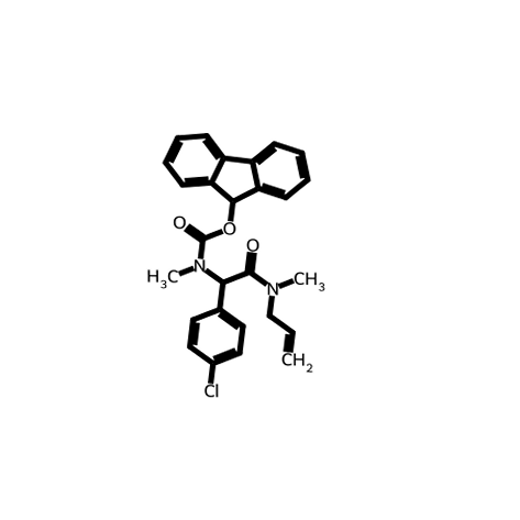 C=CCN(C)C(=O)C(c1ccc(Cl)cc1)N(C)C(=O)OC1c2ccccc2-c2ccccc21